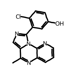 Cc1nc2cccnc2n2c(-c3cc(O)ccc3Cl)ncc12